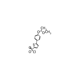 COC(C)Oc1ccc(-c2ccc(S(=O)(=O)Cl)s2)cc1